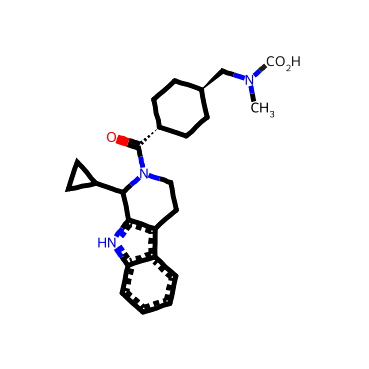 CN(C[C@H]1CC[C@H](C(=O)N2CCc3c([nH]c4ccccc34)C2C2CC2)CC1)C(=O)O